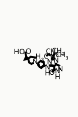 CC(C)N(c1nc(Nc2ccc(N3CCC4(CC3)CC4C(=O)O)cc2)c2c(=O)[nH]ncc2n1)C(C)C